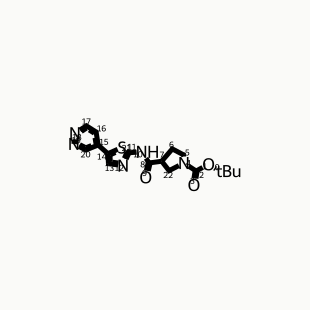 CC(C)(C)OC(=O)N1CCC(C(=O)Nc2ncc(-c3ccnnc3)s2)C1